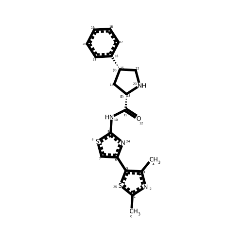 Cc1nc(C)c(-c2csc(NC(=O)[C@@H]3C[C@H](c4ccccc4)CN3)n2)s1